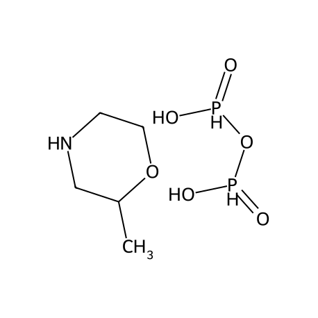 CC1CNCCO1.O=[PH](O)O[PH](=O)O